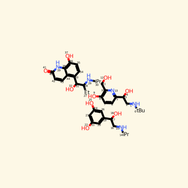 CC(C)(C)NCC(O)c1ccc(O)c(CO)n1.CC(C)NCC(O)c1cc(O)cc(O)c1.CCC(NC(C)C)C(O)c1ccc(O)c2[nH]c(=O)ccc12